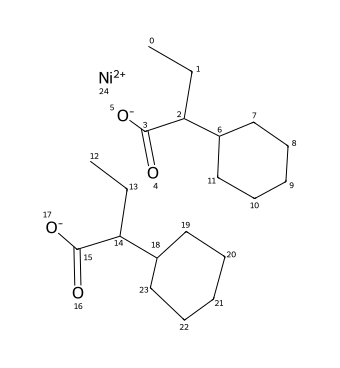 CCC(C(=O)[O-])C1CCCCC1.CCC(C(=O)[O-])C1CCCCC1.[Ni+2]